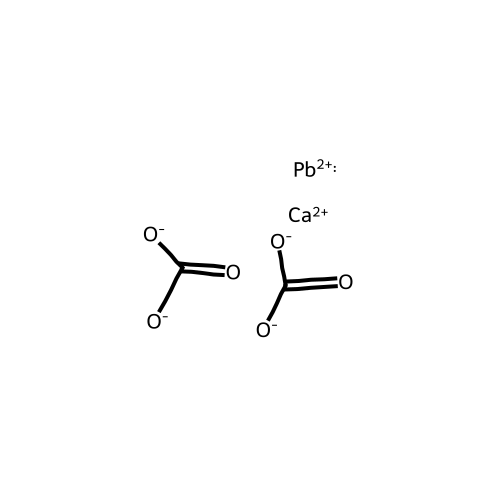 O=C([O-])[O-].O=C([O-])[O-].[Ca+2].[Pb+2]